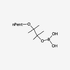 CCCCCOC(C)(C)C(C)(C)OB(O)O